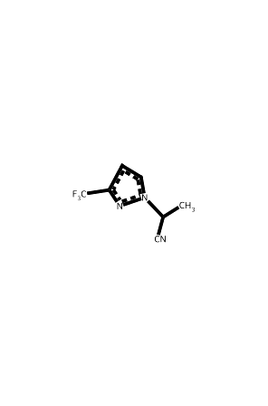 CC(C#N)n1c[c]c(C(F)(F)F)n1